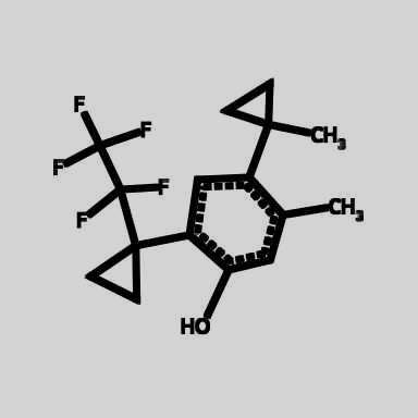 Cc1cc(O)c(C2(C(F)(F)C(F)(F)F)CC2)cc1C1(C)CC1